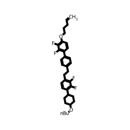 C=CCCCOc1ccc(-c2ccc(CCc3ccc(C4CCC(OCCCC)CC4)c(F)c3F)cc2)c(F)c1F